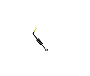 CCC#CC[S]